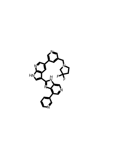 FC1(F)CCN(Cc2cncc(-c3cnc4[nH]cc(-c5nc6c(-c7cccnc7)cncc6[nH]5)c4c3)c2)C1